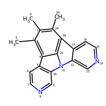 Cc1c(C)c2c3ccncc3n3c4cnccc4c(c1C)c23